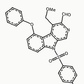 COCc1c(C=O)ncc2c1c1c(Oc3ccccc3)cccc1n2S(=O)(=O)c1ccc(C)cc1